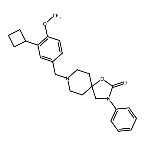 O=C1OC2(CCN(Cc3ccc(OC(F)(F)F)c(C4CCC4)c3)CC2)CN1c1ccccc1